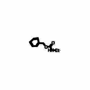 C[CH]NC(=O)OCc1ccccc1